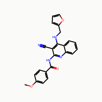 COc1ccc(C(=O)Nc2nc3ccccc3c(NCc3ccco3)c2C#N)cc1